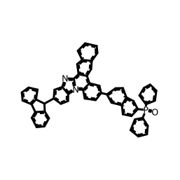 O=P(c1ccccc1)(c1ccccc1)c1ccc2cc(-c3ccc4c(c3)c3cc5ccccc5cc3c3nc5cc(C6c7ccccc7-c7ccccc76)ccc5n43)ccc2c1